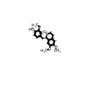 COc1cc(C[C@@H]2c3cc(OC)c(OC)cc3CCN2C)ccc1O